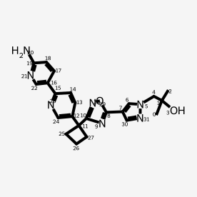 CC(C)(O)Cn1cc(-c2nc(C3(c4ccc(-c5ccc(N)nc5)nc4)CCC3)no2)cn1